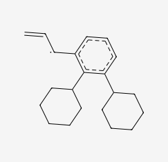 C=C[CH]c1cccc(C2CCCCC2)c1C1CCCCC1